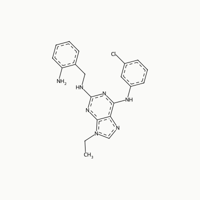 CCn1cnc2c(Nc3cccc(Cl)c3)nc(NCc3ccccc3N)nc21